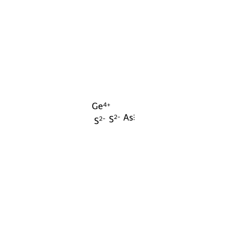 [As].[Ge+4].[S-2].[S-2]